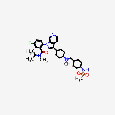 CC(C)N(C)C(=O)c1cc(F)ccc1-n1cc(C2CCC(N(C)CC3CCC(NS(C)(=O)=O)CC3)CC2)c2ccncc21